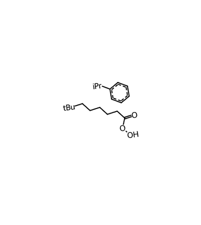 CC(C)(C)CCCCCC(=O)OO.CC(C)c1ccccc1